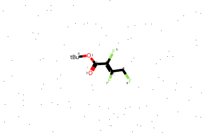 CC(C)(C)OC(=O)C(F)=C(F)CF